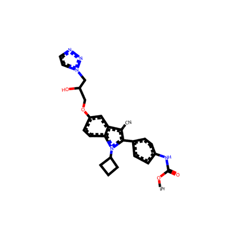 CC(C)OC(=O)Nc1ccc(-c2c(C#N)c3cc(OCC(O)Cn4ccnn4)ccc3n2C2CCC2)cc1